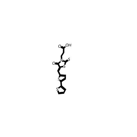 O=C(O)CCN1C(=O)C(=Cc2ccc(-c3cccs3)s2)SC1=S